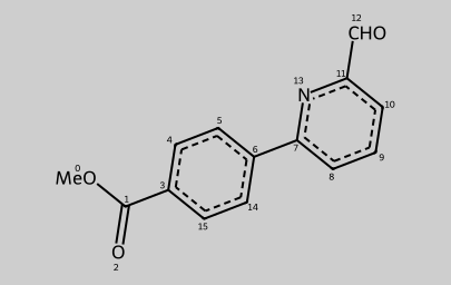 COC(=O)c1ccc(-c2cccc(C=O)n2)cc1